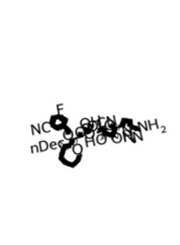 CCCCCCCCCC[C@H]1CCCCCCOC1[C@H](COP(=O)(O)OC[C@@]1(C#N)O[C@@H](c2ccc3c(N)ncnn23)[C@H](O)[C@@H]1O)OCc1cc(F)cc(C#N)c1